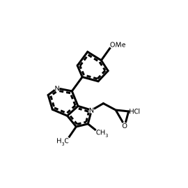 COc1ccc(-c2nccc3c(C)c(C)n(CC4CO4)c23)cc1.Cl